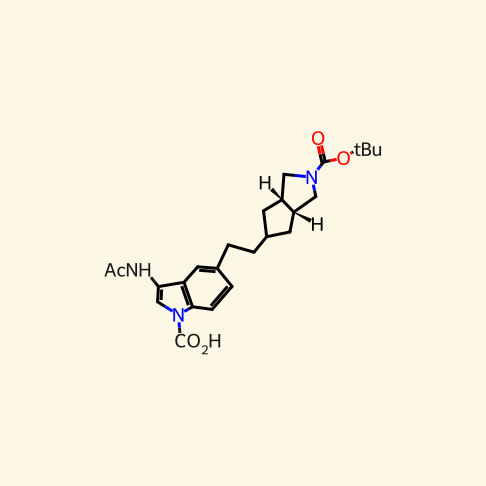 CC(=O)Nc1cn(C(=O)O)c2ccc(CCC3C[C@@H]4CN(C(=O)OC(C)(C)C)C[C@@H]4C3)cc12